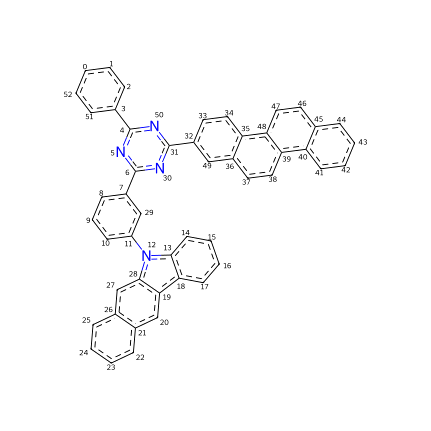 c1ccc(-c2nc(-c3cccc(-n4c5ccccc5c5cc6ccccc6cc54)c3)nc(-c3ccc4c(ccc5c6ccccc6ccc45)c3)n2)cc1